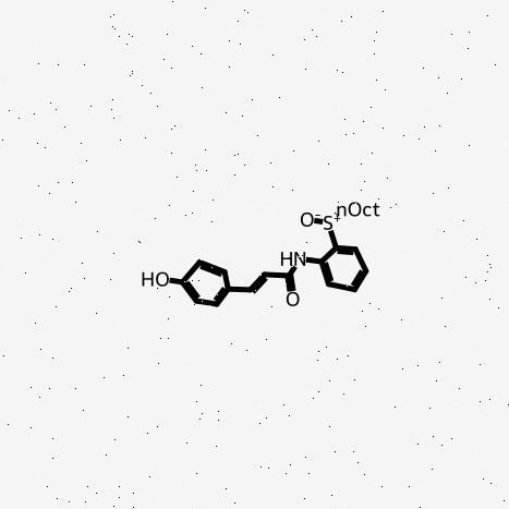 CCCCCCCC[S+]([O-])c1ccccc1NC(=O)C=Cc1ccc(O)cc1